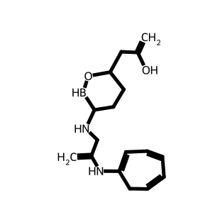 C=C(O)CC1CCC(NCC(=C)NC2=CC=CC=CC2)BO1